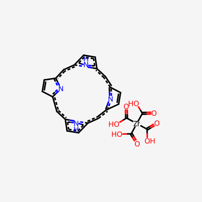 C1=Cc2cc3ccc(cc4nc(cc5ccc(cc1n2)[nH]5)C=C4)[nH]3.O=[C](O)[Zr]([C](=O)O)([C](=O)O)[C](=O)O